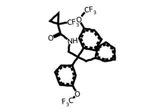 O=C(NCC(Cc1ccccc1)(c1cccc(OC(F)(F)F)c1)c1cccc(OC(F)(F)F)c1)C1(C(F)(F)F)CC1